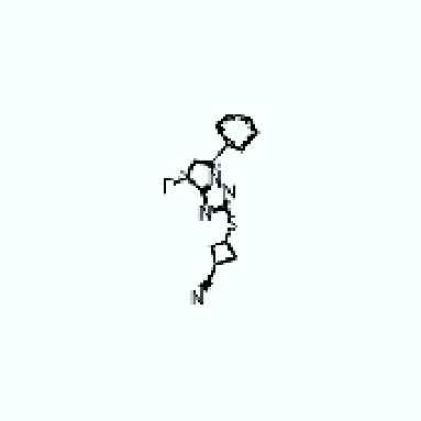 N#CC1CC(Sc2nc3n(n2)[C@H](c2ccccc2)C[C@@H]3F)C1